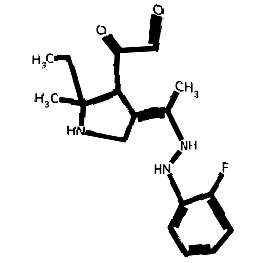 CCC1(C)NCC(=C(C)NNc2ccccc2F)C1C(=O)C=O